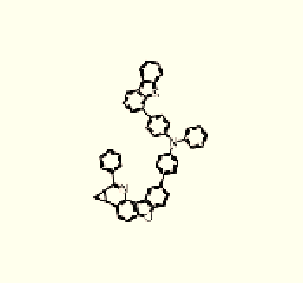 c1ccc(C2=Nc3c(ccc4oc5ccc(-c6ccc(N(c7ccccc7)c7ccc(-c8cccc9c8sc8ccccc89)cc7)cc6)cc5c34)C3CC23)cc1